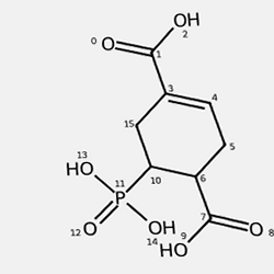 O=C(O)C1=CCC(C(=O)O)C(P(=O)(O)O)C1